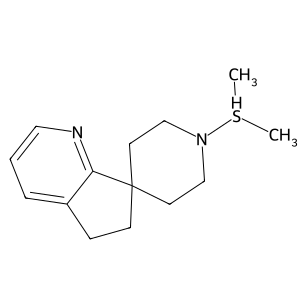 C[SH](C)N1CCC2(CCc3cccnc32)CC1